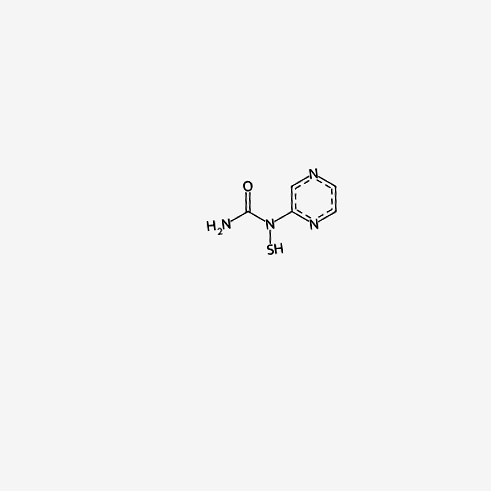 NC(=O)N(S)c1cnccn1